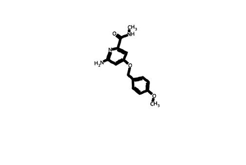 CNC(=O)c1cc(OCc2ccc(OC)cc2)cc(N)n1